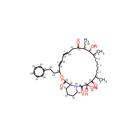 CC1CCCC(C)C(O)C(C)C(=O)C/C=C/C=C/C(CCc2ccccc2)OC(=O)C2CCCCN2C(=O)C(O)(O)C1=O